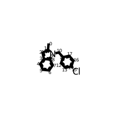 Cc1[c]c2ccccc2n1Cc1ccc(Cl)cc1